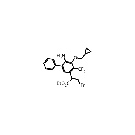 CCOC(=O)C(CC(C)C)c1cc(-c2ccccc2)c(N)c(OCC2CC2)c1C(F)(F)F